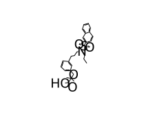 CCCN(CCCc1cccc(OC(C)(C)C(=O)O)c1)S(=O)(=O)c1ccc2ccccc2c1